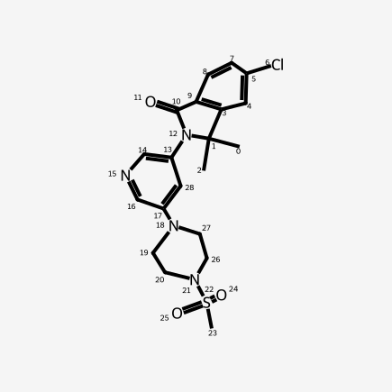 CC1(C)c2cc(Cl)ccc2C(=O)N1c1cncc(N2CCN(S(C)(=O)=O)CC2)c1